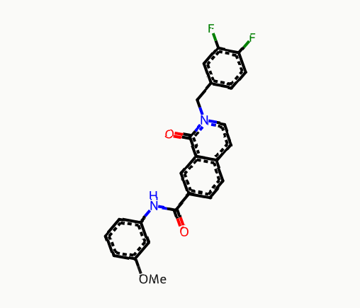 COc1cccc(NC(=O)c2ccc3ccn(Cc4ccc(F)c(F)c4)c(=O)c3c2)c1